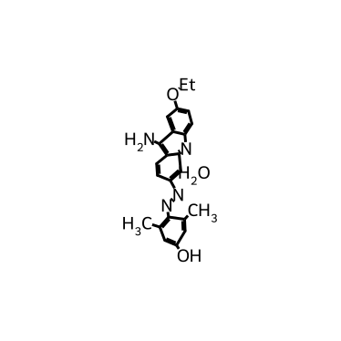 CCOc1ccc2nc3cc(/N=N/c4c(C)cc(O)cc4C)ccc3c(N)c2c1.O